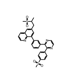 CC(Cc1cc(-c2cccc(-c3nccnc3-c3ccc(S(C)(=O)=O)cc3)c2)c2ncccc2c1)S(C)(=O)=O